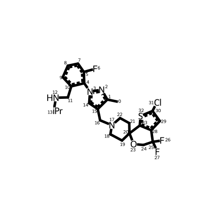 Cc1nn(-c2c(F)cccc2CNC(C)C)cc1CN1CCC2(CC1)OCC(F)(F)c1cc(Cl)sc12